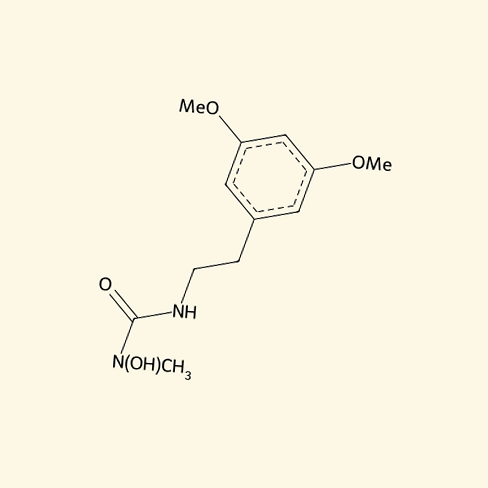 COc1cc(CCNC(=O)N(C)O)cc(OC)c1